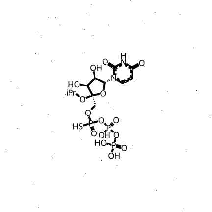 CC(C)O[C@]1(COP(=O)(S)OP(=O)(O)OP(=O)(O)O)O[C@@H](n2ccc(=O)[nH]c2=O)[C@H](O)[C@@H]1O